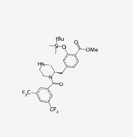 COC(=O)c1ccc(C[C@@H]2CNCCN2C(=O)c2cc(C(F)(F)F)cc(C(F)(F)F)c2)cc1O[Si](C)(C)C(C)(C)C